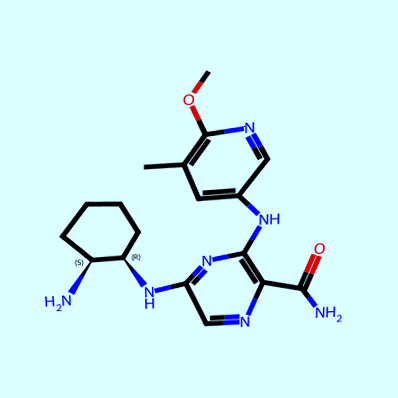 COc1ncc(Nc2nc(N[C@@H]3CCCC[C@@H]3N)cnc2C(N)=O)cc1C